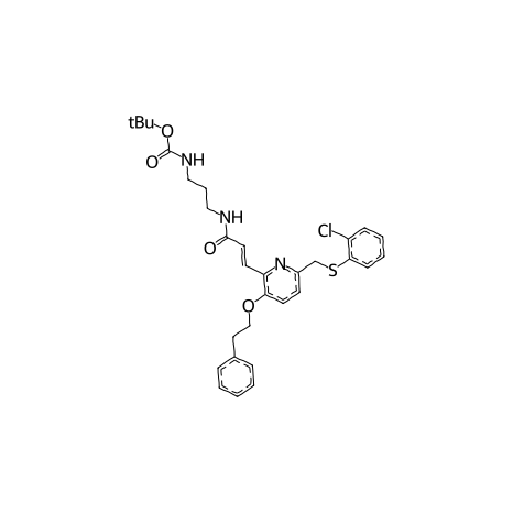 CC(C)(C)OC(=O)NCCCNC(=O)/C=C/c1nc(CSc2ccccc2Cl)ccc1OCCc1ccccc1